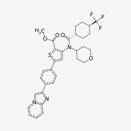 COC(=O)c1sc(-c2ccc(-c3cn4ccccc4n3)cc2)cc1N(C(=O)[C@H]1CC[C@H](C(F)(F)F)CC1)C1CCOCC1